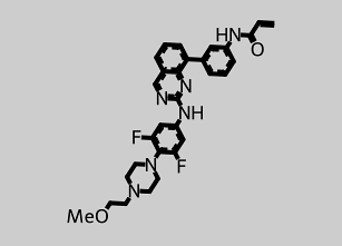 C=CC(=O)Nc1cccc(-c2cccc3cnc(Nc4cc(F)c(N5CCN(CCOC)CC5)c(F)c4)nc23)c1